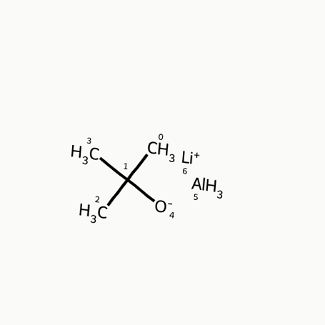 CC(C)(C)[O-].[AlH3].[Li+]